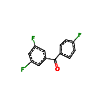 O=C(c1ccc(F)cc1)c1cc(F)cc(F)c1